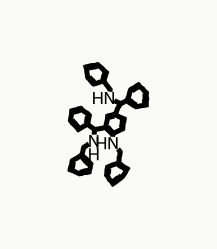 c1ccc(CNc2ccc(C(NCc3ccccc3)c3ccccc3)cc2C(NCc2ccccc2)c2ccccc2)cc1